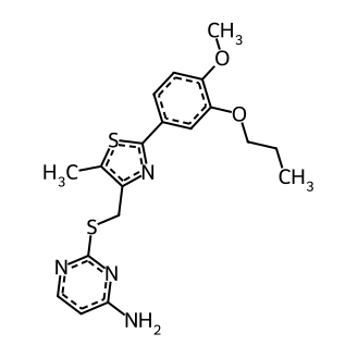 CCCOc1cc(-c2nc(CSc3nccc(N)n3)c(C)s2)ccc1OC